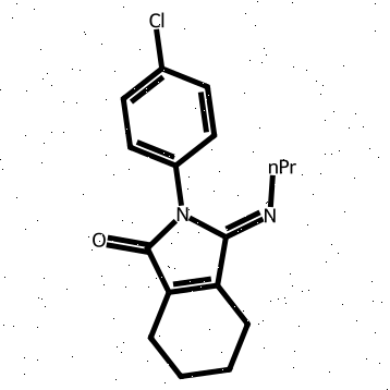 CCCN=C1C2=C(CCCC2)C(=O)N1c1ccc(Cl)cc1